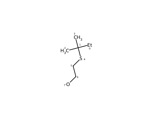 CCC(C)(C)SCC[O]